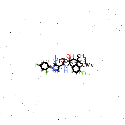 COc1c(F)ccc2c1C(C)(C)CC(O)(C(F)(F)F)C2NC(=O)c1cnn(-c2ccc(F)cc2F)c1N